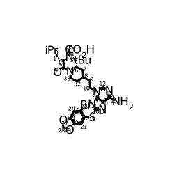 CC(C)C[C@@H](C(=O)N1CCC(CCn2cnc(N)c3nc(Sc4cc5c(cc4Br)OCO5)nc2-3)CC1)N(C(=O)O)C(C)(C)C